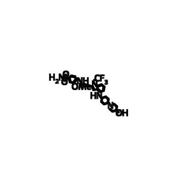 COc1cc(S(N)(=O)=O)ccc1NCC#Cc1cc2c(N[C@H]3CC[C@H](N4CCC(O)CC4)CC3)cccc2n1CC(F)(F)F